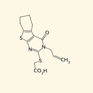 C=CCn1c(SCC(=O)O)nc2sc3c(c2c1=O)CCCC3